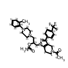 CC(=O)N1CCc2c(c(-c3ccc(C(F)(F)F)cc3)nn2CC(CN2CCN(c3ccccc3C)CC2)OC(N)=O)C1